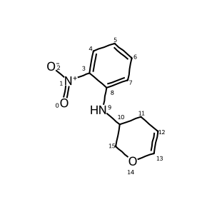 O=[N+]([O-])c1ccccc1NC1CC=COC1